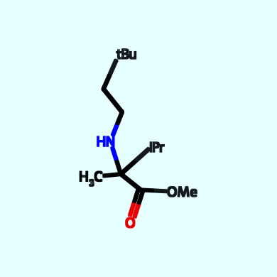 COC(=O)C(C)(NCCC(C)(C)C)C(C)C